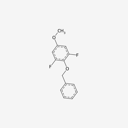 COc1cc(F)c(OCc2ccccc2)c(F)c1